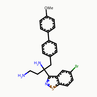 COc1ccc(-c2ccc(CC(N)(CCN)c3nsc4ccc(Br)cc34)cc2)cc1